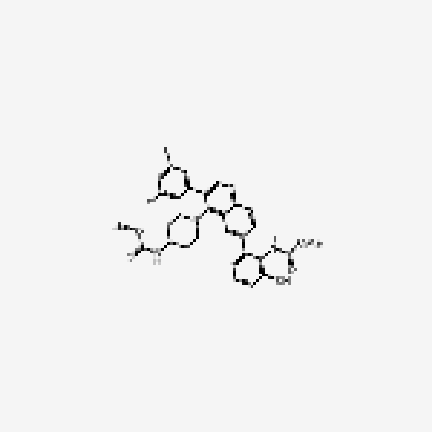 COC(=O)Nc1c(C#N)cccc1-c1ccc2ncc(-c3cc(F)cc(F)c3)c(N3CCC(NC(=O)OC(C)(C)C)CC3)c2c1